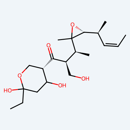 C/C=C\[C@H](C)[C@H]1OC1(C)[C@@H](C)[C@@H](CO)C(=O)[C@H]1COC(O)(CC)CC1O